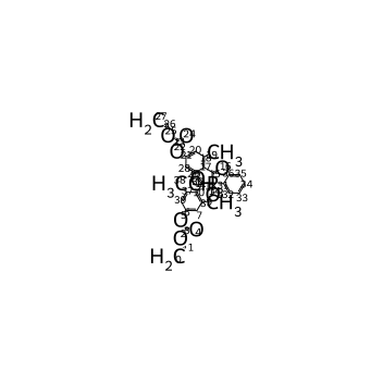 C=COC(=O)Oc1cc(C)c(C(=O)P(=O)(C(=O)c2c(C)cc(OC(=O)OC=C)cc2C)c2ccccc2)c(C)c1